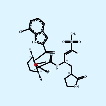 CS(=O)(=O)/C(F)=C/[C@@H](C[C@@H]1CCNC1=O)NC(=O)[C@H]1[C@@H]2CC[C@@H](CC2(F)F)N1C(=O)c1cc2cccc(Cl)c2[nH]1